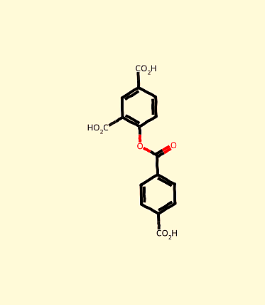 O=C(O)c1ccc(C(=O)Oc2ccc(C(=O)O)cc2C(=O)O)cc1